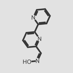 O/N=C\c1cccc(-c2ccccn2)n1